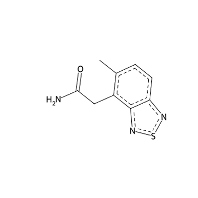 Cc1ccc2nsnc2c1CC(N)=O